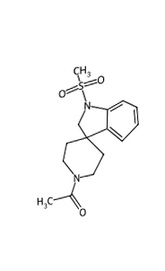 CC(=O)N1CCC2(CC1)CN(S(C)(=O)=O)c1ccccc12